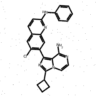 Nc1nccn2c(C3CCC3)nc(-c3cc4nc(Nc5ccccc5)ccc4cc3Cl)c12